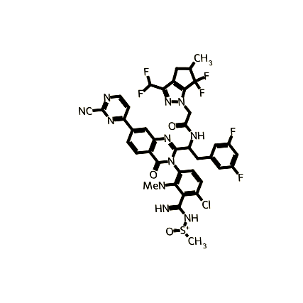 CNc1c(-n2c(C(Cc3cc(F)cc(F)c3)NC(=O)Cn3nc(C(F)F)c4c3C(F)(F)C(C)C4)nc3cc(-c4ccnc(C#N)n4)ccc3c2=O)ccc(Cl)c1C(=N)N[S+](C)[O-]